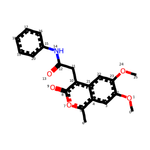 COc1cc2c(C)oc(=O)c(CC(=O)Nc3ccccc3)c2cc1OC